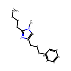 CCCCCCCCCCCCCc1nc(CCCc2ccccc2)cn1CC